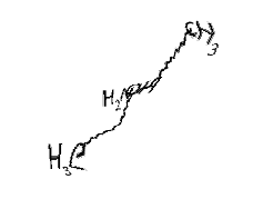 CCCCCCCCCCCCCCCCCCC(CCCCCCCCCCCCCCCCCC)C(N)O